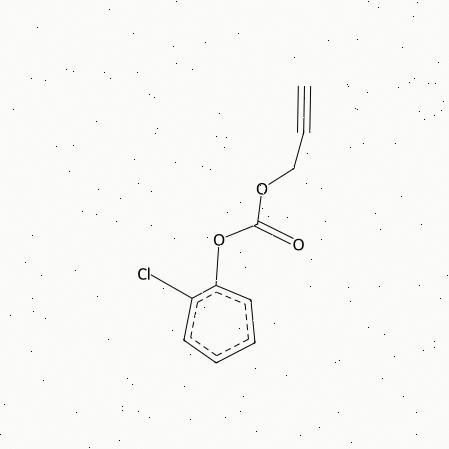 C#CCOC(=O)Oc1ccccc1Cl